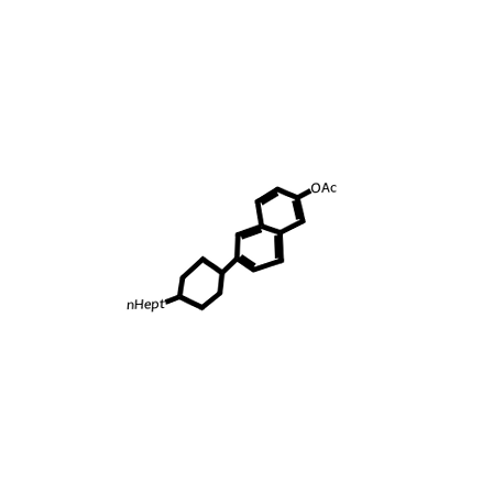 CCCCCCCC1CCC(c2ccc3cc(OC(C)=O)ccc3c2)CC1